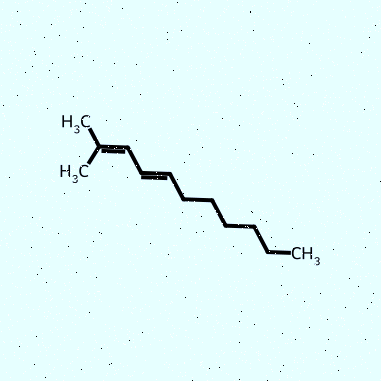 CCCCCCC=CC=C(C)C